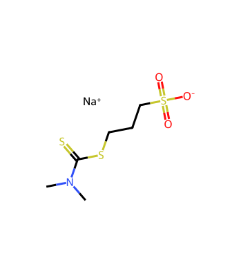 CN(C)C(=S)SCCCS(=O)(=O)[O-].[Na+]